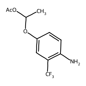 CC(=O)OC(C)Oc1ccc(N)c(C(F)(F)F)c1